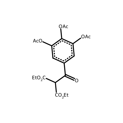 CCOC(=O)C(C(=O)OCC)C(=O)c1cc(OC(C)=O)c(OC(C)=O)c(OC(C)=O)c1